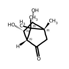 CC1(C)[C@@H]2C(=O)C[C@@]1(C)[C@@H](O)[C@H]2O